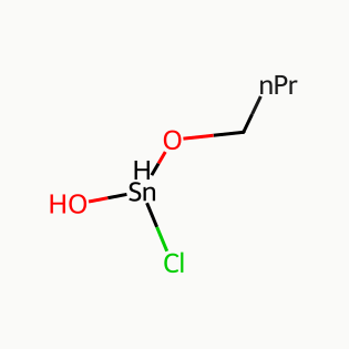 CCCC[O][SnH]([OH])[Cl]